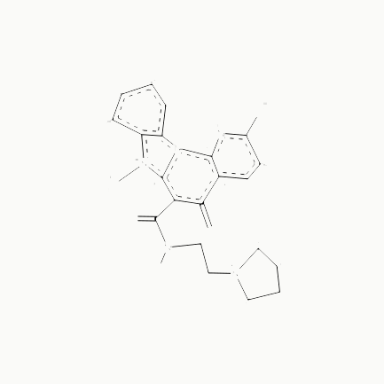 CN(CCN1CCCC1)C(=O)c1c(=O)c2ccc(Cl)nc2n2c3ccccc3n(C)c12